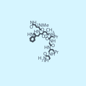 CNC(CCC(N)=O)C(=O)NC(Cc1c[nH]c2ccccc12)C(=O)CC(C)C(=O)NC(C(=O)NCC(=O)NC(CNC(CC(C)C)C(N)=O)CC(C)C)C(C)C